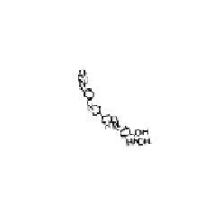 ONC(O)c1ccc(Cn2ccc3cc(C4CCN(Cc5cccc(CN6CCOCC6)c5)CC4)cnc32)cc1